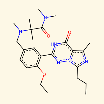 CCCc1nc(C)c2c(=O)[nH]c(-c3cc(CN(C)C(C)(C)C(=O)N(C)C)ccc3OCC)nn12